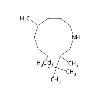 CC1CCCNCC(C)(C(C)(C)C)C(C)CC1